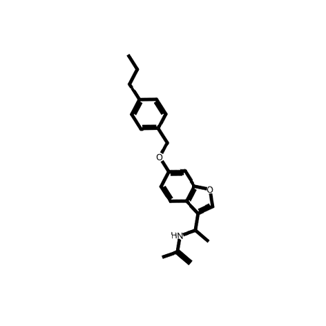 C=C(C)NC(C)c1coc2cc(OCc3ccc(CCC)cc3)ccc12